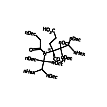 CCCCCCCCCCCC(=O)N(C(CCCCCCCC)(CCCCCCCCCC)C(CCCCCC)CCCCCCCCCC)[C@@](CCC(=O)O)(C(=O)O)C(CCCCCCCC)(CCCCCCCCCC)C(CCCCCC)CCCCCCCCCC